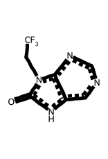 O=c1[nH]c2cncnc2n1CC(F)(F)F